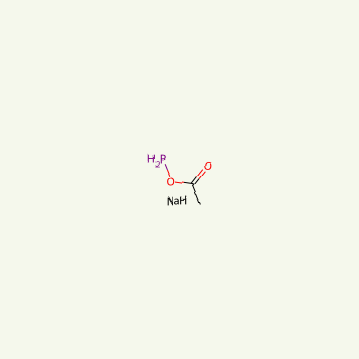 CC(=O)OP.[NaH]